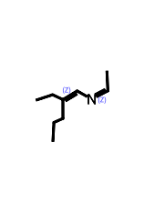 C/C=N\C=C(\CC)CCC